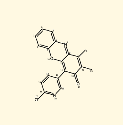 Cc1c2nc3ccccc3oc-2c(-c2ccc(Cl)nc2)c(=O)c1C